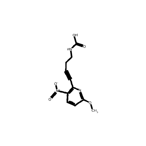 COc1ccc([N+](=O)[O-])c(C#CCCNC(=O)O)n1